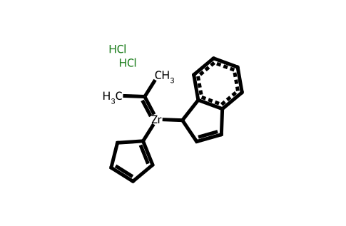 C[C](C)=[Zr]([C]1=CC=CC1)[CH]1C=Cc2ccccc21.Cl.Cl